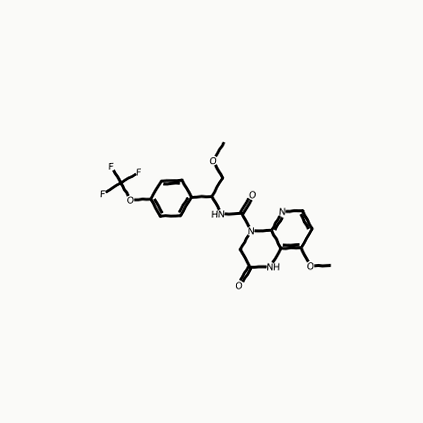 COCC(NC(=O)N1CC(=O)Nc2c(OC)ccnc21)c1ccc(OC(F)(F)F)cc1